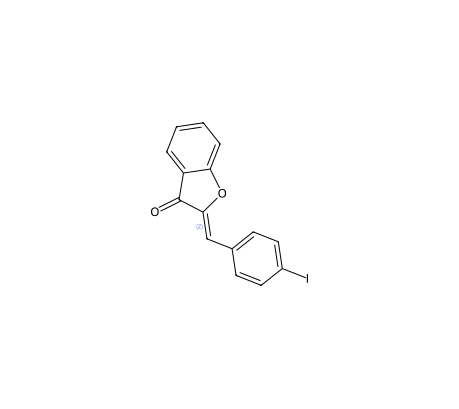 O=C1/C(=C/c2ccc(I)cc2)Oc2ccccc21